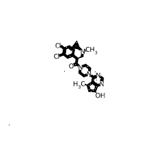 C[C@@H]1C[C@@H](O)c2ncnc(N3CCN(C(=O)[C@H](CN(C)C4CC4)c4ccc(Cl)c(Cl)c4)CC3)c21